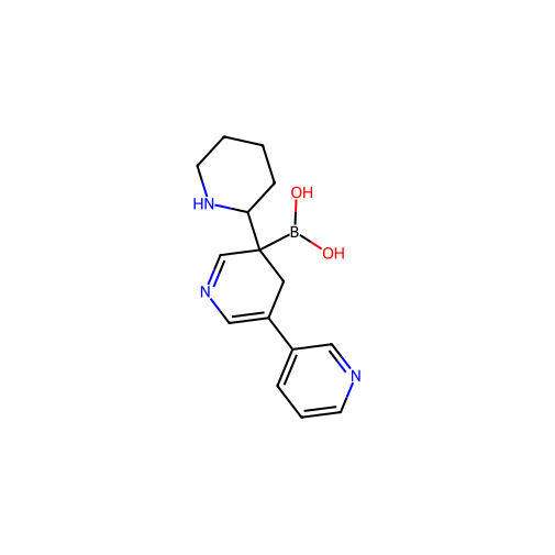 OB(O)C1(C2CCCCN2)C=NC=C(c2cccnc2)C1